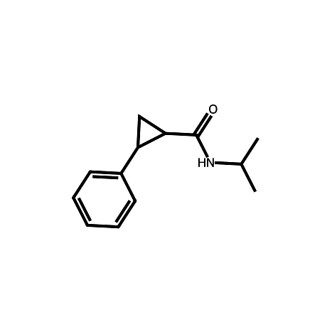 CC(C)NC(=O)C1CC1c1ccccc1